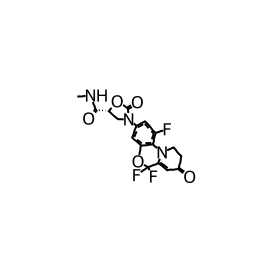 CNC(=O)[C@H]1CN(c2cc(F)c3c(c2)OC(F)(F)C2=CC(=O)CCN23)C(=O)O1